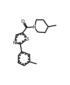 Cc1cccc(-c2ncc(C(=O)N3CCC(C)CC3)s2)c1